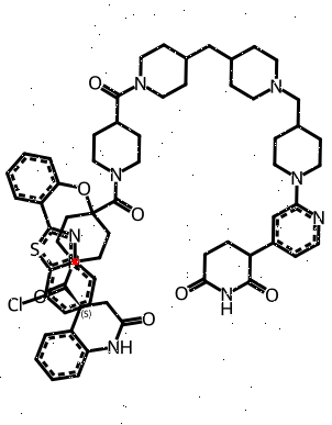 O=C1CCC(c2ccnc(N3CCC(CN4CCC(CC5CCN(C(=O)C6CCN(C(=O)C7(Oc8ccccc8-c8nc9cccc(Cl)c9s8)CCN(C(=O)[C@H]8CC(=O)Nc9ccccc98)CC7)CC6)CC5)CC4)CC3)c2)C(=O)N1